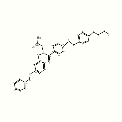 CCCCc1ccc(COc2ccc(C(=O)N(CC(=O)O)Cc3cccc(OCc4ccccc4)c3)cc2)cc1